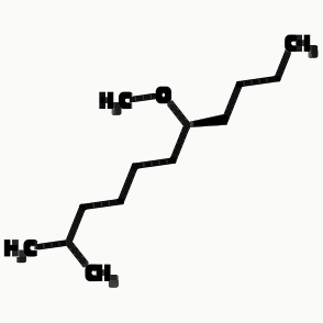 CCCC[C@@H](CCCCC(C)C)OC